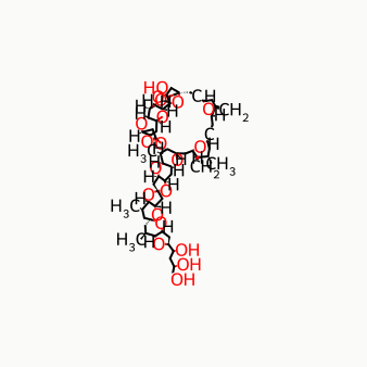 C=C1C[C@@H]2CC[C@@]34C[C@@]5(O)O[C@H]6[C@@H](O3)[C@H]3O[C@H](CC[C@@H]3O[C@H]6[C@H]5O4)CC(=O)O[C@@H]3[C@@H](C)[C@@H]4O[C@@H]5C[C@]6(C[C@@H]7O[C@]8(C[C@H](C)[C@@H]9O[C@H]([C@@H](O)C[C@@H](O)CO)C[C@@H]9O8)C[C@H](C)[C@@H]7O6)O[C@@H]5C[C@@H]4O[C@H]3C[C@H]3O[C@@H](CC[C@@H]1O2)C[C@@H](C)C3=C